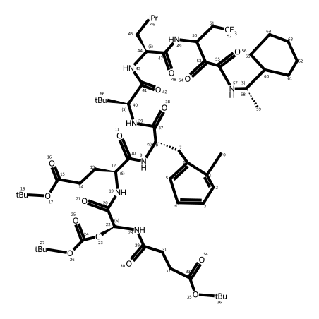 Cc1ccccc1C[C@H](NC(=O)[C@H](CCC(=O)OC(C)(C)C)NC(=O)[C@H](CC(=O)OC(C)(C)C)NC(=O)CCC(=O)OC(C)(C)C)C(=O)N[C@H](C(=O)N[C@@H](CC(C)C)C(=O)NC(CC(F)(F)F)C(=O)C(=O)N[C@@H](C)C1CCCCC1)C(C)(C)C